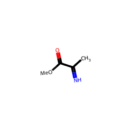 COC(=O)C(C)=N